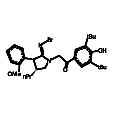 CCC[C@H]1CN(CC(=O)c2cc(C(C)(C)C)c(O)c(C(C)(C)C)c2)/C(=N\Br)[C@@H]1c1ccccc1OC